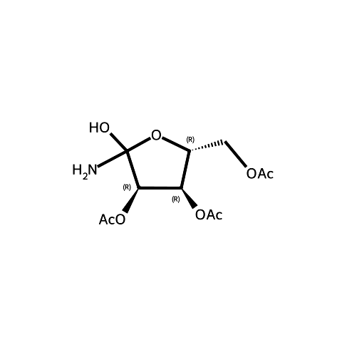 CC(=O)OC[C@H]1OC(N)(O)[C@H](OC(C)=O)[C@@H]1OC(C)=O